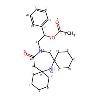 CC(=O)OC(CN1CC2(CCCCC2)NC2(CCCCC2)CC1=O)c1ccccc1